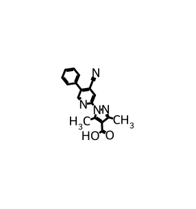 Cc1nn(-c2cc(C#N)c(-c3ccccc3)cn2)c(C)c1C(=O)O